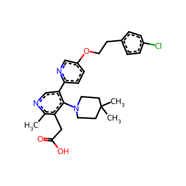 Cc1ncc(-c2ccc(OCCc3ccc(Cl)cc3)cn2)c(N2CCC(C)(C)CC2)c1CC(=O)O